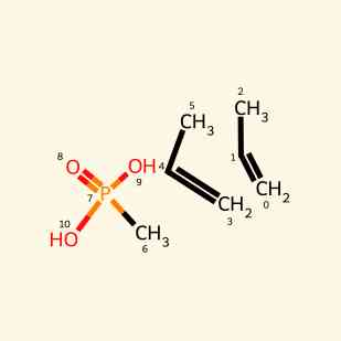 C=CC.C=CC.CP(=O)(O)O